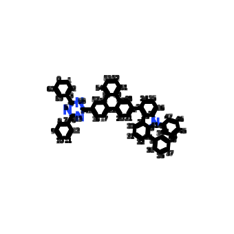 c1ccc(-c2nc(-c3ccccc3)nc(-c3ccc4c5ccc(-c6cccc7c6c6cccc(-c8ccccc8)c6n7-c6ccccc6)cc5c5ccccc5c4c3)n2)cc1